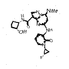 CNc1cc(Nc2cccn([C@H]3C[C@@H]3F)c2=O)nc2c(C(=O)N[C@H]3CC[C@H]3O)cnn12